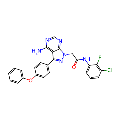 Nc1ncnc2c1c(-c1ccc(Oc3ccccc3)cc1)nn2CC(=O)Nc1cccc(Cl)c1F